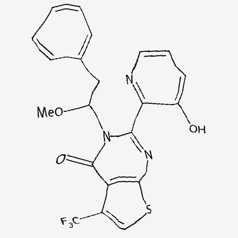 COC(Cc1ccccc1)n1c(-c2ncccc2O)nc2scc(C(F)(F)F)c2c1=O